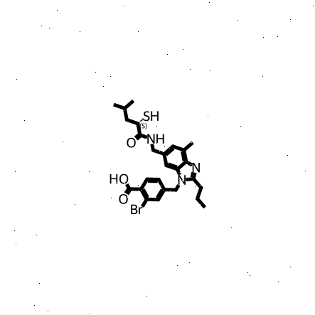 CCCc1nc2c(C)cc(CNC(=O)[C@@H](S)CC(C)C)cc2n1Cc1ccc(C(=O)O)c(Br)c1